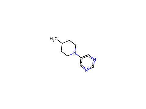 CC1CCN(c2cncnc2)CC1